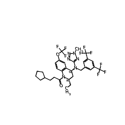 CC[C@@H]1C[C@H](N(Cc2cc(C(F)(F)F)cc(C(F)(F)F)c2)c2nnn(C)n2)c2cc(OC(F)(F)F)ccc2N1C(=O)CCC1CCCC1